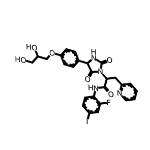 O=C(Nc1ccc(I)cc1F)C(Cc1ccccn1)N1C(=O)NC(c2ccc(OCC(O)CO)cc2)C1=O